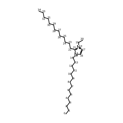 CCCCCCCCCCCCCCCn1cc[n+](CC)c1CCCCCCCCCCCCC